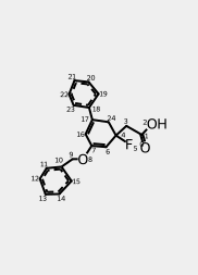 O=C(O)CC1(F)C=C(OCc2ccccc2)C=C(c2ccccc2)C1